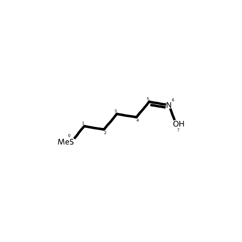 CSCCCC/C=N\O